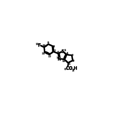 O=C(O)C1CCc2sc(C3=CCC(F)C=C3)nc21